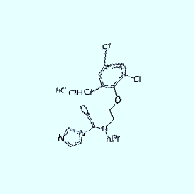 CCCN(CCOc1c(Cl)cc(Cl)cc1Cl)C(=O)n1ccnc1.Cl.Cl